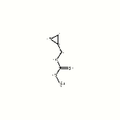 CCCCOC(=S)OCC1CO1